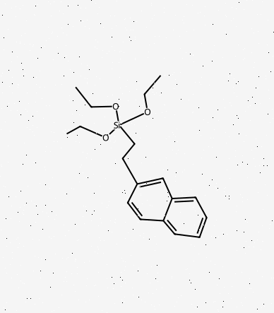 CCO[Si](CCc1ccc2ccccc2c1)(OCC)OCC